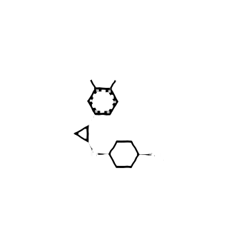 N[C@H]1CC[C@@H](N[C@H]2C[C@@H]2c2ccc(F)c(F)c2)CC1